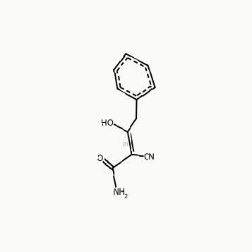 N#C/C(C(N)=O)=C(/O)Cc1ccccc1